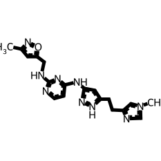 Cc1cc(CNc2nccc(Nc3cc(CCc4cn(C)cn4)[nH]n3)n2)on1